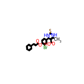 CC1=C(C(=O)O)C(c2ccc(OC(=O)C=Cc3ccccc3)c(Br)c2)NC(=S)N1